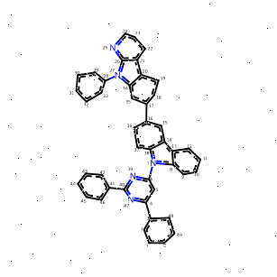 c1ccc(-c2cc(-n3c4ccccc4c4cc(-c5ccc6c7cccnc7n(-c7ccccc7)c6c5)ccc43)nc(-c3ccccc3)n2)cc1